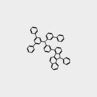 c1ccc(-c2cccc(N(c3cc(-c4ccccc4)cc(-c4ccccc4)c3)c3cccc(-c4cccc5c4c4ccc6ccccc6c4n5-c4ccccc4)c3)c2)cc1